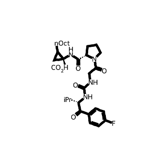 CCCCCCCCC1C[C@]1(NC(=O)[C@@H]1CCCN1C(=O)CNC(=O)N[C@H](C(=O)c1ccc(F)cc1)C(C)C)C(=O)O